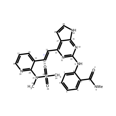 CNC(=O)c1ccccc1Nc1nc(/C=C/c2cccnc2N(C)S(C)(=O)=O)c2cc[nH]c2n1